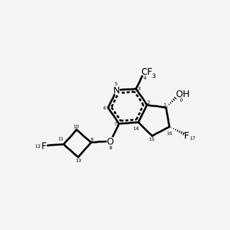 O[C@H]1c2c(C(F)(F)F)ncc(OC3CC(F)C3)c2C[C@H]1F